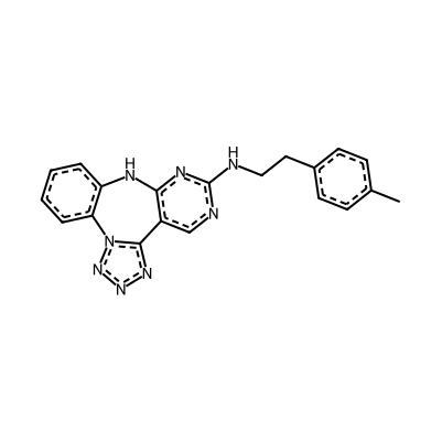 Cc1ccc(CCNc2ncc3c(n2)Nc2ccccc2-n2nnnc2-3)cc1